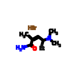 Br.CCC(C=C(C)C(N)=O)N(C)C